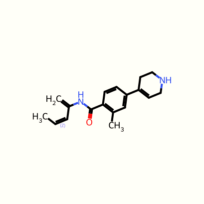 C=C(/C=C\C)NC(=O)c1ccc(C2=CCNCC2)cc1C